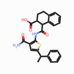 CC(c1ccccc1)c1cc(C(N)=O)c(NC(=O)C2c3ccccc3CCC2C(=O)O)s1